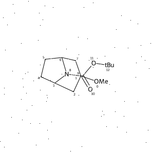 COC1CC2CCC(C1)N2C(=O)OC(C)(C)C